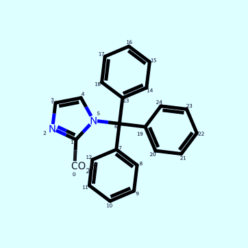 O=C(O)c1n[c]cn1C(c1ccccc1)(c1ccccc1)c1ccccc1